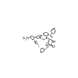 O=C(NC1N=C(c2ccccc2)c2ccccc2N(Cc2cn(-c3ccc([N+](=O)[O-])cc3[N+](=O)[O-])cn2)C1=O)OCc1ccccc1